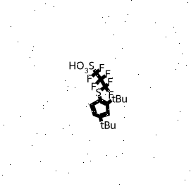 CC(C)(C)c1ccc(SC(F)(F)C(F)(F)C(F)(F)S(=O)(=O)O)c(C(C)(C)C)c1